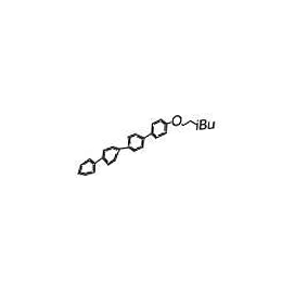 CCC(C)CCOc1ccc(-c2ccc(-c3ccc(-c4ccccc4)cc3)cc2)cc1